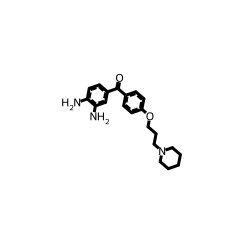 Nc1ccc(C(=O)c2ccc(OCCCN3CCCCC3)cc2)cc1N